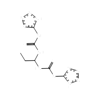 CCC(NC(=O)Nc1nnn[nH]1)NC(=O)Nc1nnn[nH]1